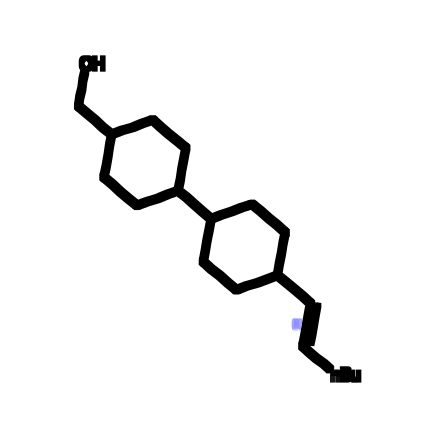 CCCC/C=C/C1CCC(C2CCC(CO)CC2)CC1